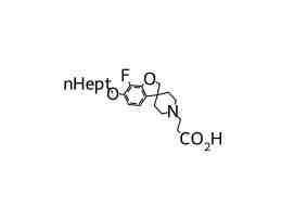 CCCCCCCOc1ccc2c(c1F)OCC21CCN(CCC(=O)O)CC1